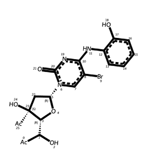 CC(=O)C(O)[C@H]1O[C@@H](n2cc(Br)c(Nc3ccccc3O)nc2=O)C[C@@]1(O)C(C)=O